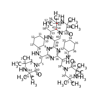 CC1(C)CN(CC(NC2CCCCC2)c2nc(C(CN3CC(C)(C)NC(C)(C)C3=O)NC3CCCCC3)nc(C(CN3CC(C)(C)NC(C)(C)C3=O)NC3CCCCC3)n2)C(=O)C(C)(C)N1